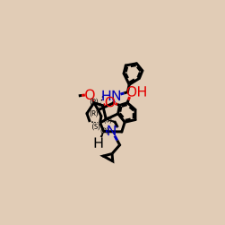 CO[C@]12CC[C@@]3(C[C@]1(C)CNCc1ccccc1)[C@H]1Cc4ccc(O)c5c4[C@@]3(CCN1CC1CC1)C2O5